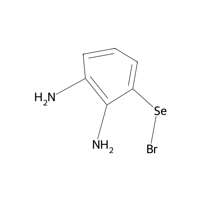 Nc1cccc([Se]Br)c1N